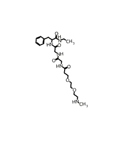 CCNC(=O)C(Cc1ccccc1)NC(=O)CNC(=O)CNC(=O)CCOCCOCCNC